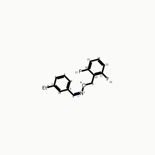 CCc1cccc(/[C]=N\OCc2c(F)cccc2F)c1